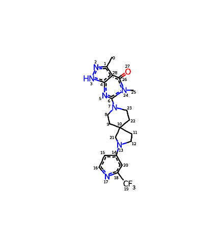 Cc1n[nH]c2nc(N3CCC4(CCN(c5ccnc(C(F)(F)F)c5)C4)CC3)n(C)c(=O)c12